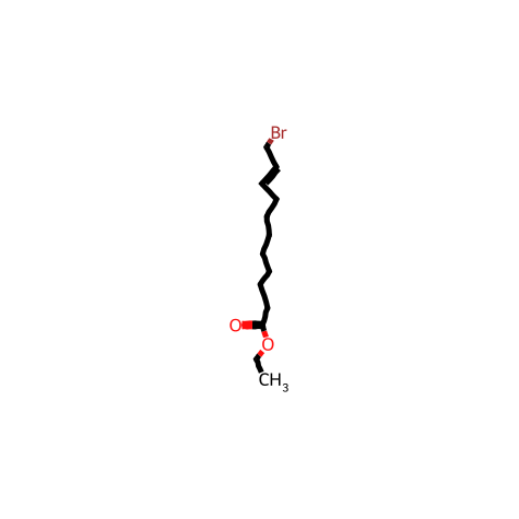 CCOC(=O)CCCCCCCC=CCBr